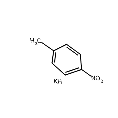 Cc1ccc([N+](=O)[O-])cc1.[KH]